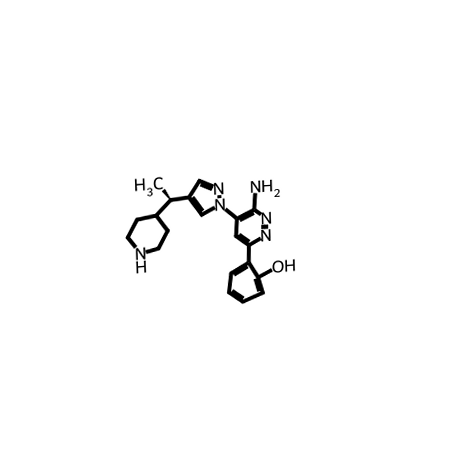 C[C@@H](c1cnn(-c2cc(-c3ccccc3O)nnc2N)c1)C1CCNCC1